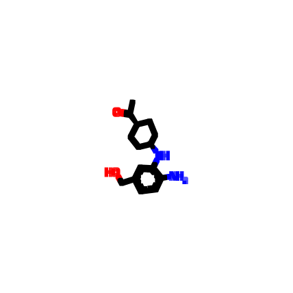 CC(=O)[C@H]1CC[C@@H](Nc2cc(CO)ccc2N)CC1